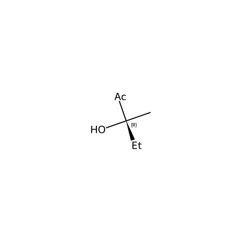 CC[C@@](C)(O)C(C)=O